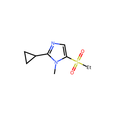 CCS(=O)(=O)c1cnc(C2CC2)n1C